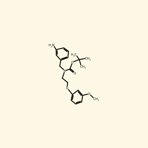 COc1cccc(OCCN(Cc2cccc(N)c2)C(=O)OC(C)(C)C)c1